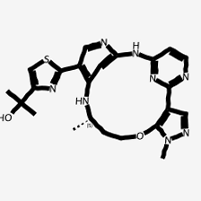 C[C@H]1CCOc2c(cnn2C)-c2nccc(n2)Nc2cc(c(-c3nc(C(C)(C)O)cs3)cn2)N1